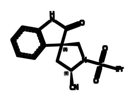 CC(C)S(=O)(=O)N1C[C@]2(C[C@H]1C#N)C(=O)Nc1ccccc12